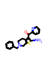 Nc1sc2c(c1C(=O)c1ccccn1)CCN(Cc1ccccc1)C2